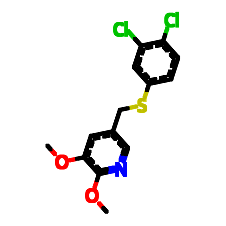 COc1cc(CSc2ccc(Cl)c(Cl)c2)cnc1OC